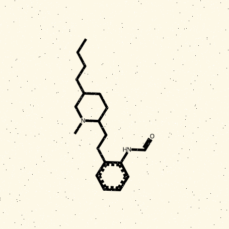 CCCCC1CCC(CCc2ccccc2NC=O)N(C)C1